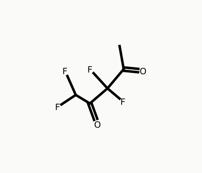 CC(=O)C(F)(F)C(=O)C(F)F